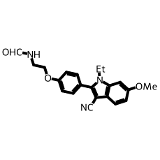 CCn1c(-c2ccc(OCCNC=O)cc2)c(C#N)c2ccc(OC)cc21